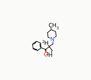 [2H]CC([2H])(CN1CCC(C)CC1)C(=O)c1ccccc1